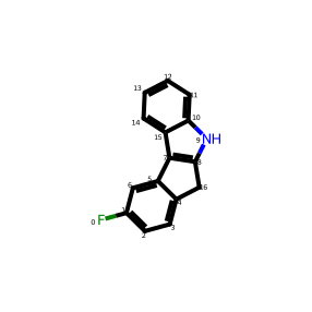 Fc1ccc2c(c1)-c1c([nH]c3ccccc13)C2